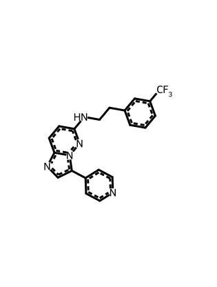 FC(F)(F)c1cccc(CCNc2ccc3ncc(-c4ccncc4)n3n2)c1